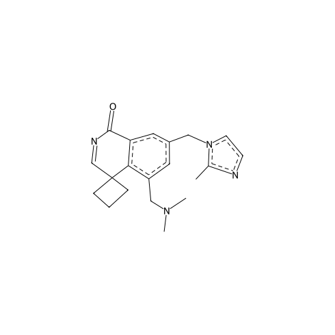 Cc1nccn1Cc1cc(CN(C)C)c2c(c1)C(=O)N=CC21CCC1